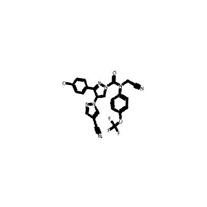 N#CCN(C(=O)N1CC(n2cc(C#N)cn2)C(c2ccc(Cl)cc2)=N1)c1ccc(OC(F)(F)F)cc1